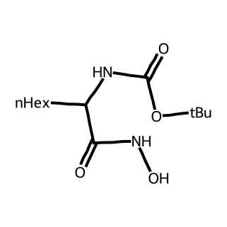 CCCCCCC(NC(=O)OC(C)(C)C)C(=O)NO